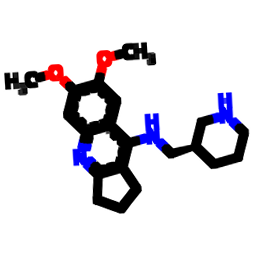 COc1cc2nc3c(c(NC[C@@H]4CCCNC4)c2cc1OC)CCC3